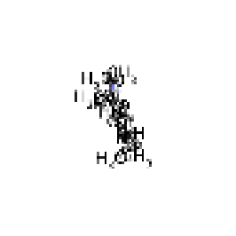 COC(=O)NC(CC/C=C/C(=O)N(C)C)C(=O)Nc1cccn(Cc2nc3c(CC(C)C)cncc3[nH]2)c1=O